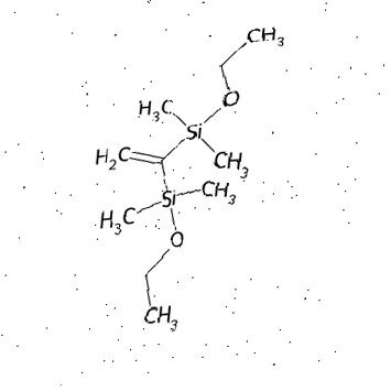 C=C([Si](C)(C)OCC)[Si](C)(C)OCC